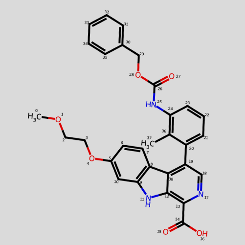 COCCOc1ccc2c(c1)[nH]c1c(C(=O)O)ncc(-c3cccc(NC(=O)OCc4ccccc4)c3C)c12